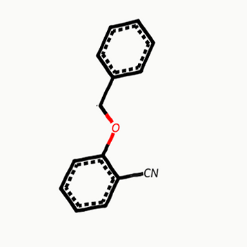 N#Cc1ccccc1O[CH]c1ccccc1